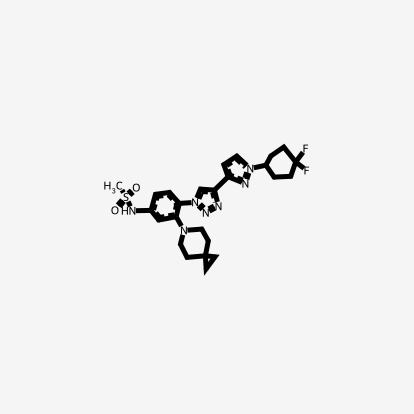 CS(=O)(=O)Nc1ccc(-n2cc(-c3ccn(C4CCC(F)(F)CC4)n3)nn2)c(N2CCC3(CC2)CC3)c1